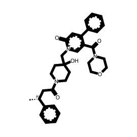 C[C@H](CC(=O)N1CCC(O)(Cn2cc(C(=O)N3CCOCC3)c(-c3ccccc3)cc2=O)CC1)c1ccccc1